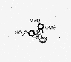 COc1ccc(CN(c2nccs2)S(=O)(=O)c2ccc(C(=O)O)cc2F)c(OC)c1